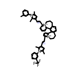 Cc1cccc(-n2c(C)cc(/C=C/c3cccc4[n+]3CCCc3ccc5c(c3-4)-c3cccc(/C=C/c4cc(C)n(-c6cccc(C(F)(F)F)c6)c4C)[n+]3CCC5)c2C)c1